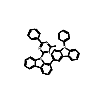 Cc1nc(-c2ccccc2)nc(-n2c3ccccc3c3cccc(-c4ccc5c(c4)c4ccccc4n5-c4ccccc4)c32)n1